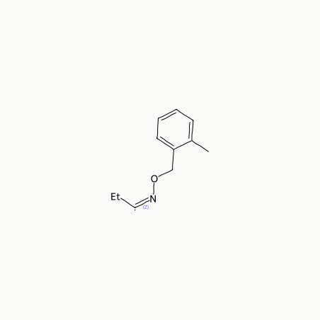 CC/[C]=N\OCc1ccccc1C